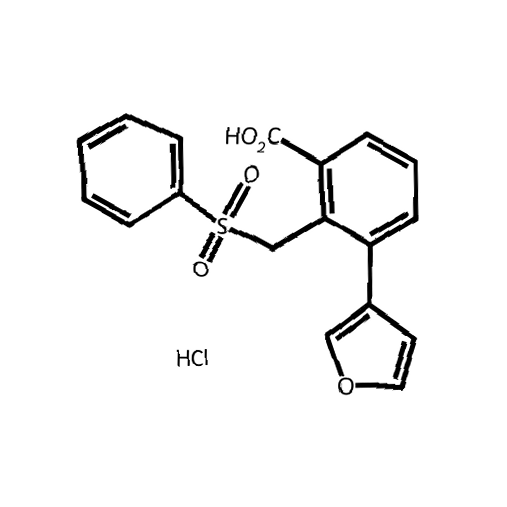 Cl.O=C(O)c1cccc(-c2ccoc2)c1CS(=O)(=O)c1ccccc1